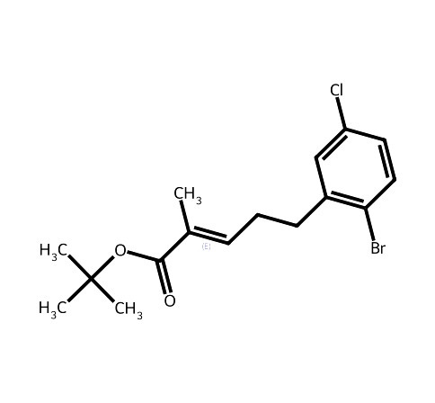 C/C(=C\CCc1cc(Cl)ccc1Br)C(=O)OC(C)(C)C